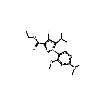 CCOC(=O)c1nn(-c2cnc(N(C)C)nc2OC)c(C(C)C)c1I